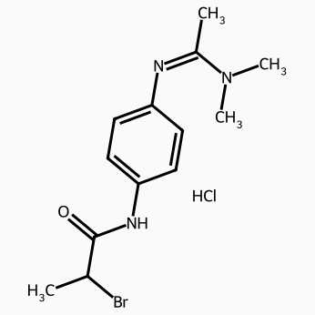 CC(=Nc1ccc(NC(=O)C(C)Br)cc1)N(C)C.Cl